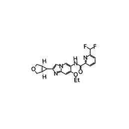 CCOc1cc2nc(C3[C@H]4COC[C@@H]34)cn2cc1NC(=O)c1cccc(C(F)F)n1